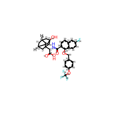 O=C(N[C@H](C(=O)O)C12C[C@@H]3C[C@@H](CC(O)(C3)C1)C2)c1ccc2cc(F)ccc2c1OCc1ccc(OC(F)(F)F)cc1